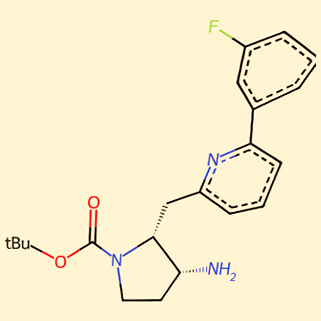 CC(C)(C)OC(=O)N1CC[C@@H](N)[C@H]1Cc1cccc(-c2cccc(F)c2)n1